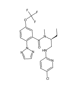 CC[C@@H](CNc1ccc(Cl)cn1)N(C)C(=O)c1cc(OC(F)(F)F)ccc1-n1nccn1